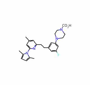 Cc1cc(CCc2cc(F)cc(N3CCN(C(=O)O)CC3)c2)nc(-n2c(C)ccc2C)c1